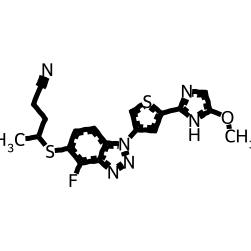 COc1cnc(-c2cc(-n3nnc4c(F)c(SC(C)CCC#N)ccc43)cs2)[nH]1